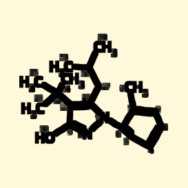 Cc1ccccc1-n1nc(O)c(C(C)(C)C)c1CC(C)C